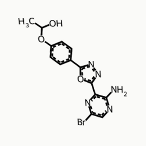 CC(O)Oc1ccc(-c2nnc(-c3nc(Br)cnc3N)o2)cc1